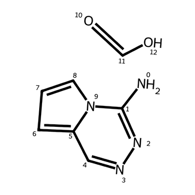 Nc1nncc2cccn12.O=CO